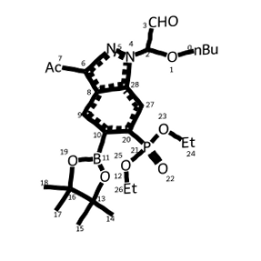 CCCCOC(C=O)n1nc(C(C)=O)c2cc(B3OC(C)(C)C(C)(C)O3)c(P(=O)(OCC)OCC)cc21